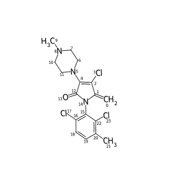 C=C1C(Cl)=C(N2CCN(C)CC2)C(=O)N1c1c(Cl)ccc(C)c1Cl